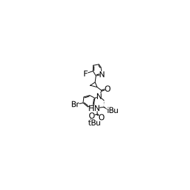 CC[C@H](C)[C@@H](CN(C(=O)C1CC1c1ncccc1F)c1ccc(Br)cc1)NC(=O)OC(C)(C)C